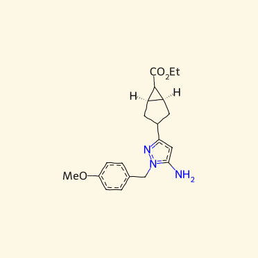 CCOC(=O)C1[C@H]2CC(c3cc(N)n(Cc4ccc(OC)cc4)n3)C[C@@H]12